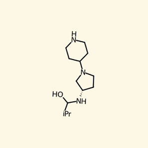 CC(C)C(O)N[C@H]1CCN(C2CCNCC2)C1